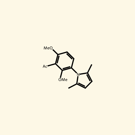 COc1ccc(-n2c(C)ccc2C)c(OC)c1C(C)=O